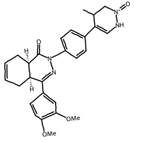 COc1ccc(C2=NN(c3ccc(C4=CN[N+](=O)CC4C)cc3)C(=O)[C@@H]3CC=CC[C@H]23)cc1OC